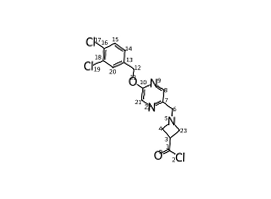 O=C(Cl)C1CN(Cc2cnc(OCc3ccc(Cl)c(Cl)c3)cn2)C1